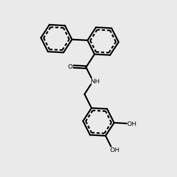 O=C(NCc1ccc(O)c(O)c1)c1ccccc1-c1ccccc1